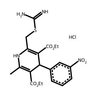 CCOC(=O)C1=C(C)NC(CSC(=N)N)=C(C(=O)OCC)C1c1cccc([N+](=O)[O-])c1.Cl